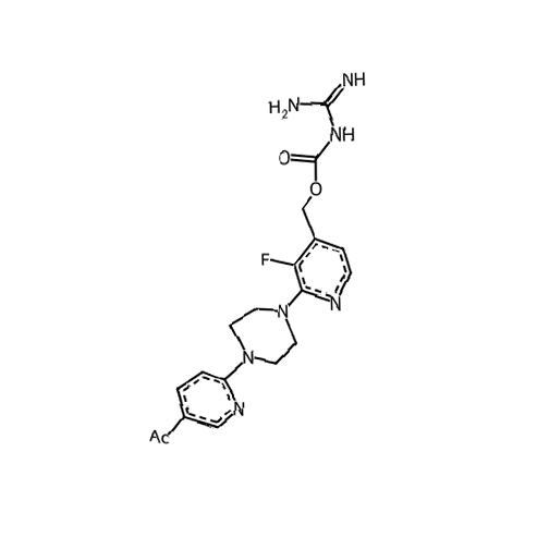 CC(=O)c1ccc(N2CCN(c3nccc(COC(=O)NC(=N)N)c3F)CC2)nc1